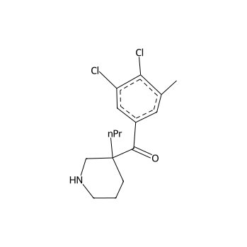 CCCC1(C(=O)c2cc(C)c(Cl)c(Cl)c2)CCCNC1